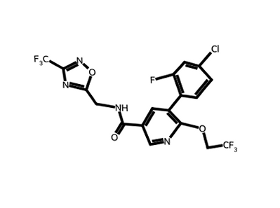 O=C(NCc1nc(C(F)(F)F)no1)c1cnc(OCC(F)(F)F)c(-c2ccc(Cl)cc2F)c1